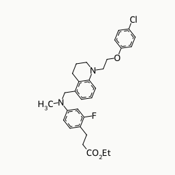 CCOC(=O)CCc1ccc(N(C)Cc2cccc3c2CCCN3CCOc2ccc(Cl)cc2)cc1F